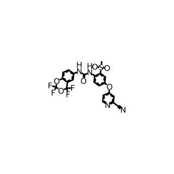 CS(=O)(=O)c1cc(Oc2ccnc(C#N)c2)ccc1NC(=O)Nc1ccc2c(c1)C(F)(F)OC(F)(F)O2